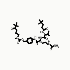 CC(C)[C@H](NC(=O)CCC(C)(C)C)C(=O)N[C@@H](CCCNC(N)=O)C(=O)Nc1ccc(COC(=O)N(C)CCCC(=O)C(C)(C)C)cc1